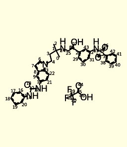 CC(C)(CCn1ccc2cc(NC(=O)Nc3ccccc3)ccc21)NC[C@H](O)c1cccc(NS(=O)(=O)c2ccccc2)c1.O=C(O)C(F)(F)F